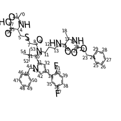 CC(=O)NC(CSCC(=O)N(CCCNC(=O)C(C)NC(=O)OCc1ccccc1)C(c1cc(-c2cc(F)ccc2F)cn1Cc1ccccc1)C(C)(C)C)C(=O)O